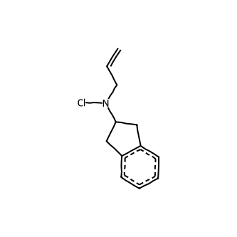 C=CCN(Cl)C1Cc2ccccc2C1